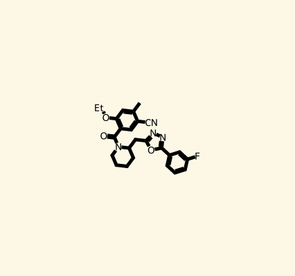 CCOc1cc(C)c(C#N)cc1C(=O)N1CCCCC1Cc1nnc(-c2cccc(F)c2)o1